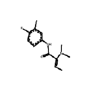 C/C=C(/C(=O)Nc1ccc(F)c(C)c1)N(C)C